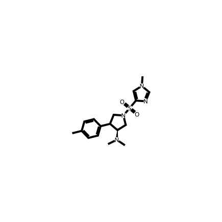 Cc1ccc(C2CN(S(=O)(=O)c3cn(C)cn3)C[C@H]2N(C)C)cc1